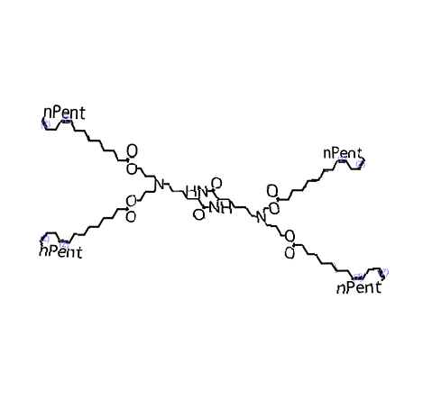 CCCCC/C=C\C/C=C\CCCCCCCC(=O)OCCCN(CCCCC1NC(=O)C(CCCCN(CCCOC(=O)CCCCCCC/C=C\C/C=C\CCCCC)COC(=O)CCCCCCC/C=C\C/C=C\CCCCC)NC1=O)CCCOC(=O)CCCCCCC/C=C\C/C=C\CCCCC